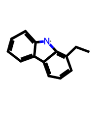 CCc1cccc2c1[N]c1ccccc1-2